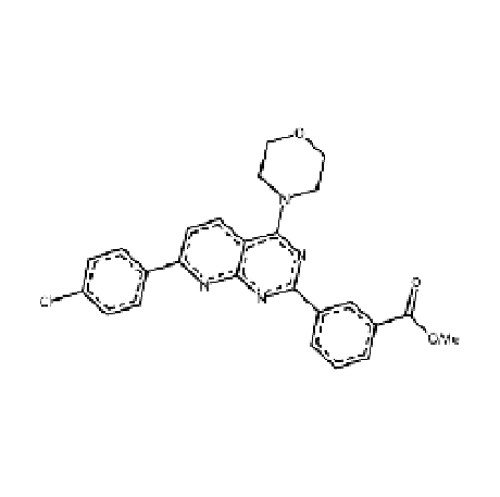 COC(=O)c1cccc(-c2nc(N3CCOCC3)c3ccc(-c4ccc(Cl)cc4)nc3n2)c1